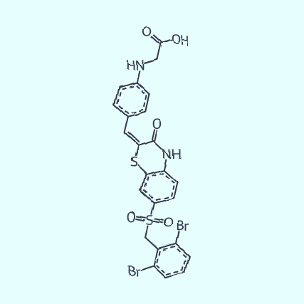 O=C(O)CNc1ccc(/C=C2/Sc3cc(S(=O)(=O)Cc4c(Br)cccc4Br)ccc3NC2=O)cc1